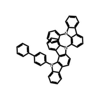 c1ccc(-c2ccc(-n3c4ccccc4c4ccc5c(c6ccccc6n5-c5cccc6c7ccccc7n(-c7ccccc7)c56)c43)cc2)cc1